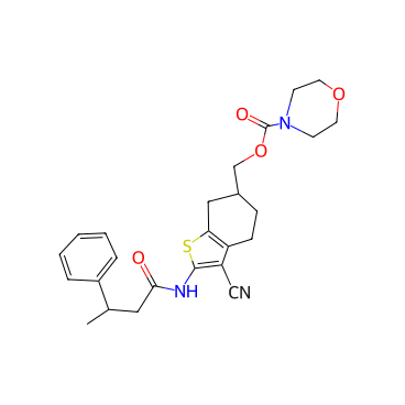 CC(CC(=O)Nc1sc2c(c1C#N)CCC(COC(=O)N1CCOCC1)C2)c1ccccc1